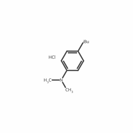 CCC(C)c1ccc(N(C)C)cc1.Cl